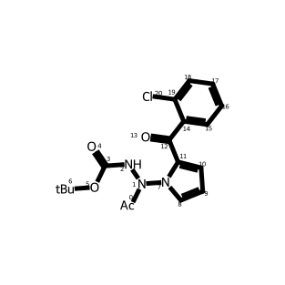 CC(=O)N(NC(=O)OC(C)(C)C)n1cccc1C(=O)c1ccccc1Cl